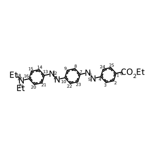 CCOC(=O)c1ccc(N=Nc2ccc(N=Nc3ccc(N(CC)CC)cc3)cc2)cc1